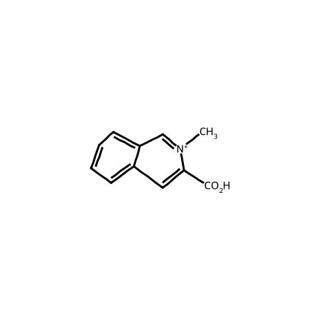 C[n+]1cc2ccccc2cc1C(=O)O